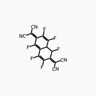 N#CC(C#N)=C1C(F)=C(F)C2C(=C1F)C(F)=C(F)C(=C(C#N)C#N)C2F